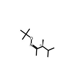 CC(=NOC(C)(C)C)[C@@H](C)C(C)C